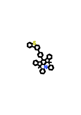 CC1(C)c2ccccc2-c2c(-c3ccc(-c4ccc5sc6ccccc6c5c4)cc3)c3c(c(N(c4ccccc4)c4ccccc4)c21)C(C)(C)c1ccccc1-3